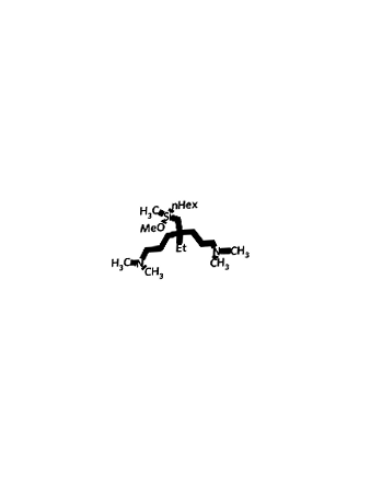 CCCCCC[Si](C)(CC(CC)(CCCN(C)C)CCCN(C)C)OC